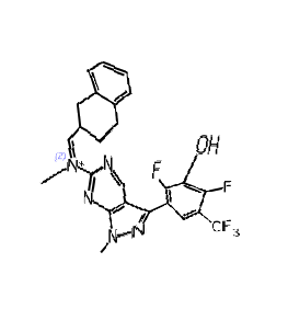 Cn1nc(-c2cc(C(F)(F)F)c(F)c(O)c2F)c2cnc(/[N+](C)=C\C3CCc4ccccc4C3)nc21